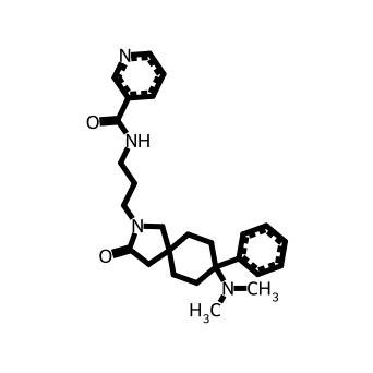 CN(C)C1(c2ccccc2)CCC2(CC1)CC(=O)N(CCCNC(=O)c1cccnc1)C2